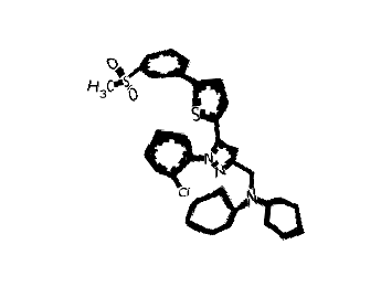 CS(=O)(=O)c1cccc(-c2ccc(-c3cc(CN(C4CCCCC4)C4CCCCC4)nn3-c3ccccc3Cl)s2)c1